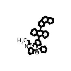 CCc1nc2cccc3c2n1-c1cc(-c2c4ccccc4c(-c4ccc5ccc6ccccc6c5c4)c4ccccc24)ccc1P3(=O)c1ccccc1